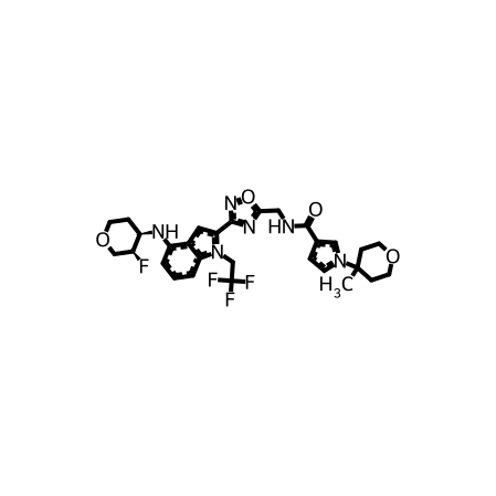 CC1(n2ccc(C(=O)NCc3nc(-c4cc5c(N[C@@H]6CCOC[C@@H]6F)cccc5n4CC(F)(F)F)no3)c2)CCOCC1